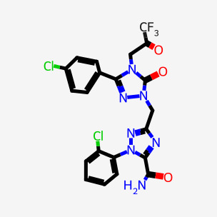 NC(=O)c1nc(Cn2nc(-c3ccc(Cl)cc3)n(CC(=O)C(F)(F)F)c2=O)nn1-c1ccccc1Cl